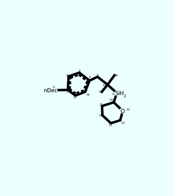 CCCCCCCCCCc1ccc(CC(C)(C)[SiH2]C2CCCCO2)cc1